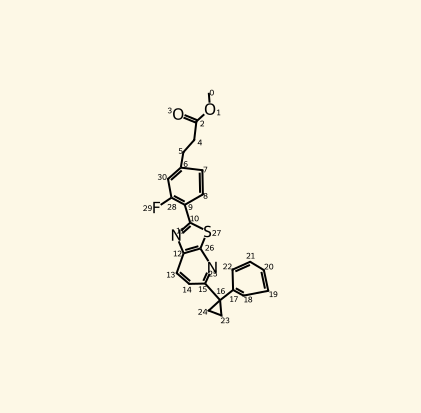 COC(=O)CCc1ccc(-c2nc3ccc(C4(c5ccccc5)CC4)nc3s2)c(F)c1